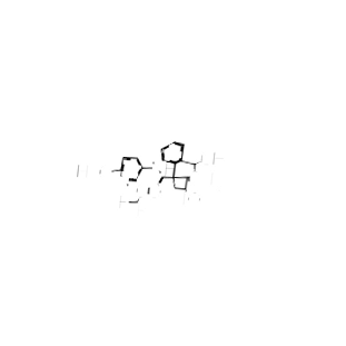 Cc1ccc(NC(=O)C2(c3ccccc3C(C)C)CC(O)C2)c(OC(F)F)n1